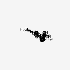 CCCCCCOc1cccc(S(=O)(=O)NC(=O)c2cccnc2N2CC(C)CC2(C)C)n1